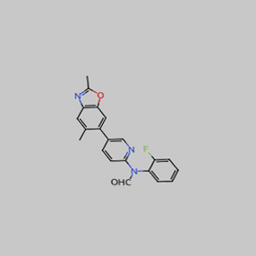 Cc1nc2cc(C)c(-c3ccc(N(C=O)c4ccccc4F)nc3)cc2o1